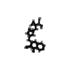 O=c1[nH]c2ccccc2cc1Cc1cnn(CC2(C(F)F)CC2)c1